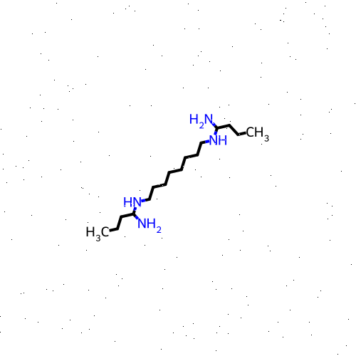 CCCC(N)NCCCCCCCCNC(N)CCC